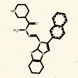 CN(N=CN1C(c2ccc3ccccc3c2)=CN2C3=C(CCCC3)SC12)C(=O)C1CCCNC1